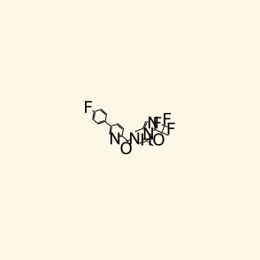 C[C@H]1CN(C(=O)c2ccc(-c3ccc(F)cc3)cn2)Cc2cnc(C(C)(O)C(F)(F)F)n21